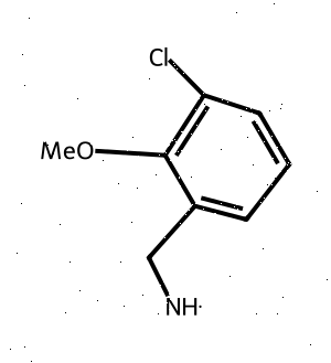 COc1c(Cl)cccc1C[NH]